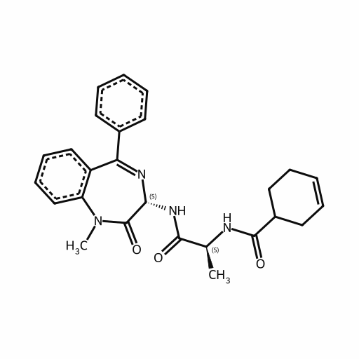 C[C@H](NC(=O)C1CC=CCC1)C(=O)N[C@H]1N=C(c2ccccc2)c2ccccc2N(C)C1=O